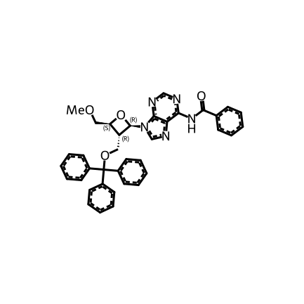 COC[C@H]1O[C@@H](n2cnc3c(NC(=O)c4ccccc4)ncnc32)[C@@H]1COC(c1ccccc1)(c1ccccc1)c1ccccc1